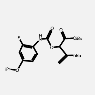 C=C(CCCC)C(OC(=O)Nc1ccc(OC(C)C)cc1F)C(=O)OCC(C)C